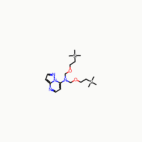 C[Si](C)(C)CCOCN(COCC[Si](C)(C)C)c1ccnc2ccnn12